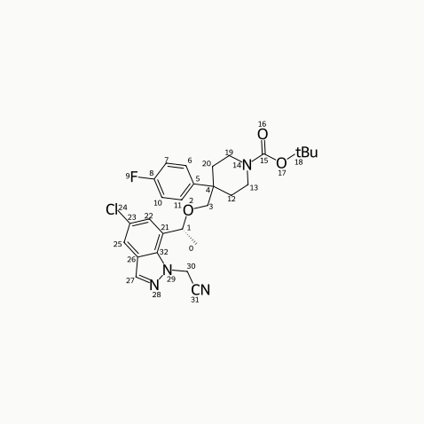 C[C@@H](OCC1(c2ccc(F)cc2)CCN(C(=O)OC(C)(C)C)CC1)c1cc(Cl)cc2cnn(CC#N)c12